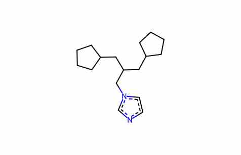 c1cn(CC(CC2CCCC2)CC2CCCC2)cn1